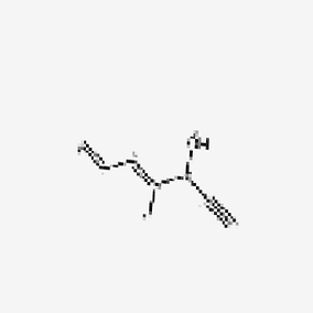 C#CC(O)/C(C)=C/C=C